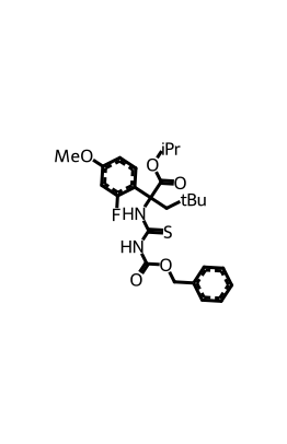 COc1ccc(C(CC(C)(C)C)(NC(=S)NC(=O)OCc2ccccc2)C(=O)OC(C)C)c(F)c1